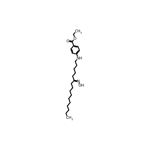 CCCCCCCCCCC(CCCCCNc1ccc(C(=O)OCC)cc1)=NO